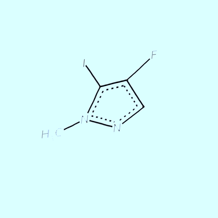 Cn1ncc(F)c1I